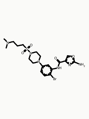 CN(C)CCCS(=O)(=O)N1CCN(c2ccc(Br)c(NC(=O)c3coc(N)n3)c2)CC1